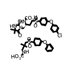 CC(C)(CNC(=O)O)CS(=O)(=O)c1ccc(Oc2ccccc2)cc1.CC1(C)NC(=O)N(C[C@@H](CCS(=O)(=O)c2ccc(Oc3ccc(Cl)cc3)cc2)NC(=O)O)C1=O